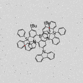 CC(C)(C)c1ccc2c(c1)B1c3cc(C(C)(C)C)cc([Si](c4ccccc4)(c4ccccc4)c4ccccc4)c3N(c3ccccc3)c3cc(-n4c5ccccc5c5ccccc54)cc(c31)N2c1ccccc1[Si](c1ccccc1)(c1ccccc1)c1ccccc1